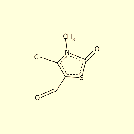 Cn1c(Cl)c(C=O)sc1=O